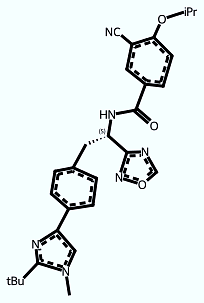 CC(C)Oc1ccc(C(=O)N[C@@H](Cc2ccc(-c3cn(C)c(C(C)(C)C)n3)cc2)c2ncon2)cc1C#N